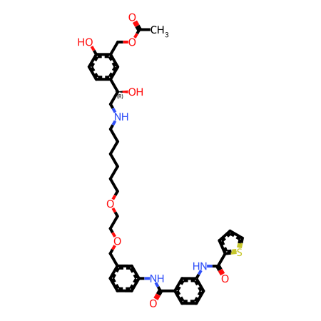 CC(=O)OCc1cc([C@@H](O)CNCCCCCCOCCOCc2cccc(NC(=O)c3cccc(NC(=O)c4cccs4)c3)c2)ccc1O